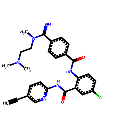 C#Cc1ccc(NC(=O)c2cc(Cl)ccc2NC(=O)c2ccc(C(=N)N(C)CCN(C)C)cc2)nc1